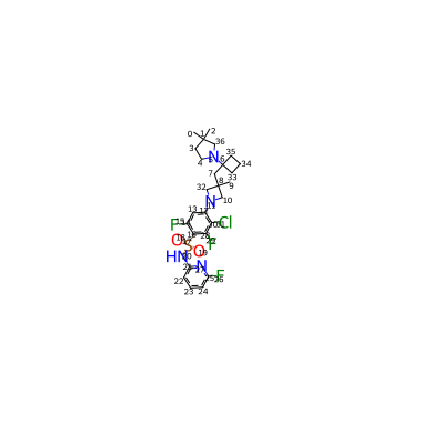 CC1(C)CCN(C2(CC3(C)CN(c4cc(F)c(S(=O)(=O)Nc5cccc(F)n5)c(F)c4Cl)C3)CCC2)C1